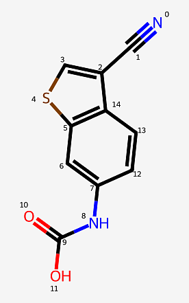 N#Cc1csc2cc(NC(=O)O)ccc12